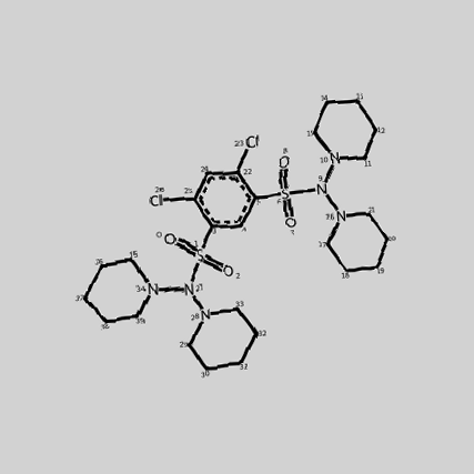 O=S(=O)(c1cc(S(=O)(=O)N(N2CCCCC2)N2CCCCC2)c(Cl)cc1Cl)N(N1CCCCC1)N1CCCCC1